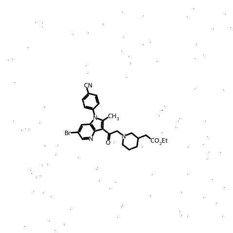 CCOC(=O)CC1CCCN(CC(=O)c2c(C)n(-c3ccc(C#N)cc3)c3cc(Br)cnc23)C1